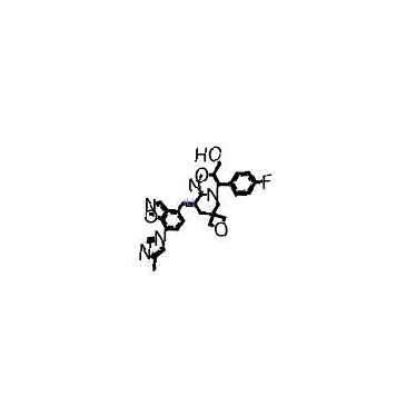 Cc1cn(-c2ccc(/C=C3\CC4(COC4)CN4C3=NOC(CO)C4c3ccc(F)cc3)c3cnoc23)cn1